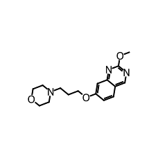 COc1ncc2ccc(OCCCN3CCOCC3)cc2n1